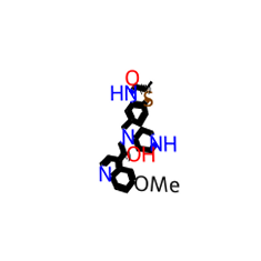 COc1ccc2nccc([C@@H](O)CN(Cc3ccc4c(c3)NC(=O)[C@@H](C)S4)C3CCNCC3)c2c1